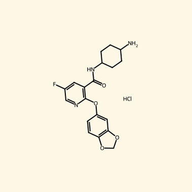 Cl.NC1CCC(NC(=O)c2cc(F)cnc2Oc2ccc3c(c2)OCO3)CC1